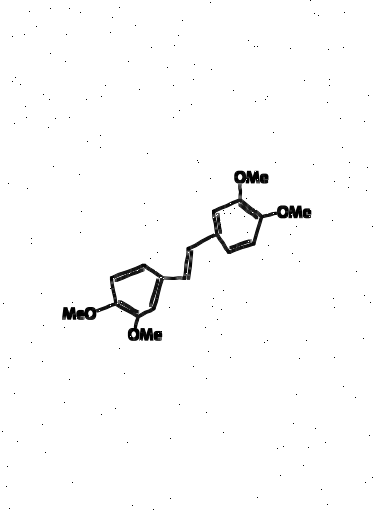 COc1ccc(/C=C/c2ccc(OC)c(OC)c2)cc1OC